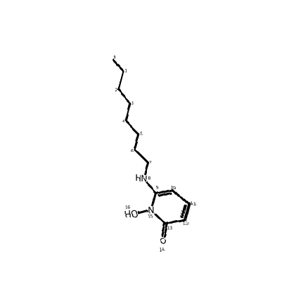 CCCCCCCCNc1cccc(=O)n1O